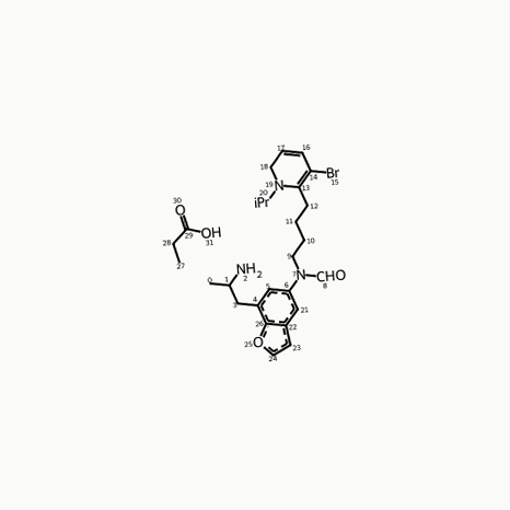 CC(N)Cc1cc(N(C=O)CCCCC2=C(Br)C=CCN2C(C)C)cc2ccoc12.CCC(=O)O